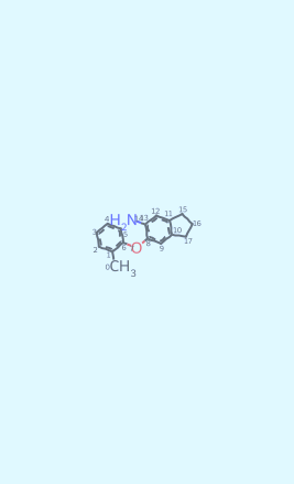 Cc1ccccc1Oc1cc2c(cc1N)CCC2